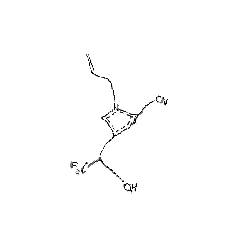 C=CCn1cc(C(O)C(F)(F)F)cc1C#N